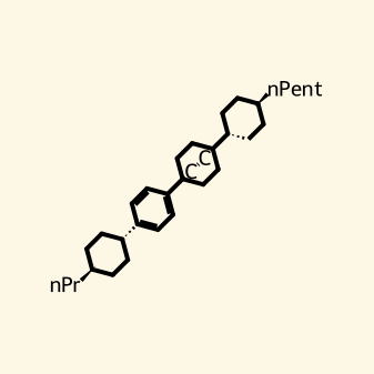 CCCCC[C@H]1CC[C@H](C23CCC(c4ccc([C@H]5CC[C@H](CCC)CC5)cc4)(CC2)CC3)CC1